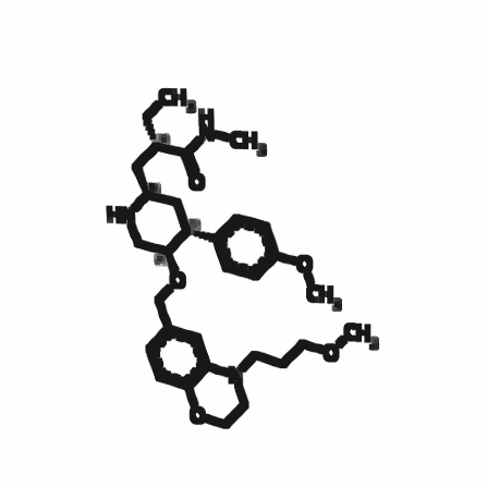 CC[C@@H](C[C@H]1C[C@H](c2ccc(OC)cc2)[C@@H](OCc2ccc3c(c2)N(CCCOC)CCO3)CN1)C(=O)NC